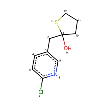 OC1(Cc2ccc(Cl)nc2)CCCS1